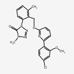 COc1cc(Cl)ccc1-c1cccc(OCc2c(C)cccc2-n2nnn(C)c2=O)n1